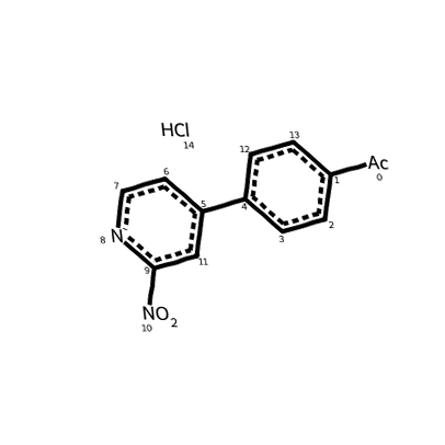 CC(=O)c1ccc(-c2ccnc([N+](=O)[O-])c2)cc1.Cl